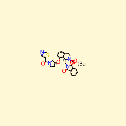 CC(C)(C)OC(=O)N1CCc2cccc(O[C@H]3CCN(C(=O)c4cncs4)C3)c2[C@H]1CN1C(=O)c2ccccc2C1=O